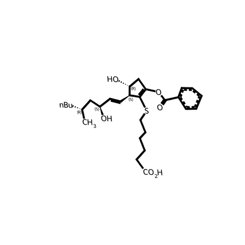 CCCC[C@@H](C)C[C@H](O)C=C[C@@H]1C(SCCCCCC(=O)O)=C(OC(=O)c2ccccc2)C[C@H]1O